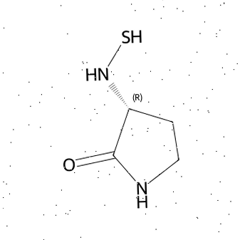 O=C1NCC[C@H]1NS